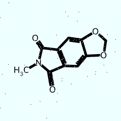 CN1C(=O)c2cc3c(cc2C1=O)OCO3